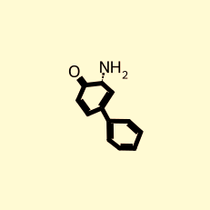 N[C@@H]1C=C(c2ccccc2)C=CC1=O